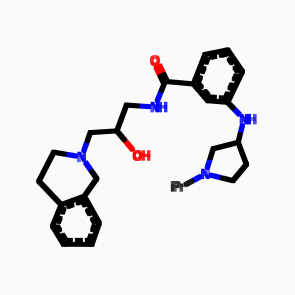 CC(C)N1CCC(Nc2cccc(C(=O)NCC(O)CN3CCc4ccccc4C3)c2)C1